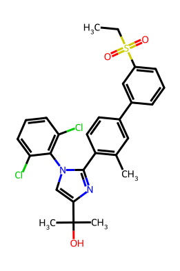 CCS(=O)(=O)c1cccc(-c2ccc(-c3nc(C(C)(C)O)cn3-c3c(Cl)cccc3Cl)c(C)c2)c1